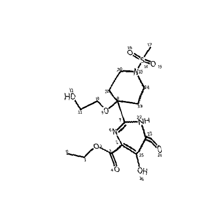 CCOC(=O)c1nc(C2(OCCO)CCN(S(C)(=O)=O)CC2)[nH]c(=O)c1O